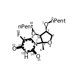 CCCCCO[C@H]1CO[C@](C)(n2cc(F)c(=O)[nH]c2=O)[C@H]1OCCCCC